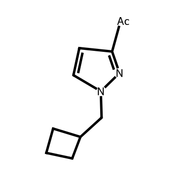 CC(=O)c1ccn(CC2CCC2)n1